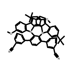 COc1ccc2c3ccc(OC)cc3n(-c3c(-c4cccc(C#N)c4)ccc(-c4cccc(C#N)c4)c3-n3c4cc(C(C)(C)C)ccc4c4ccc(C(C)(C)C)cc43)c2c1